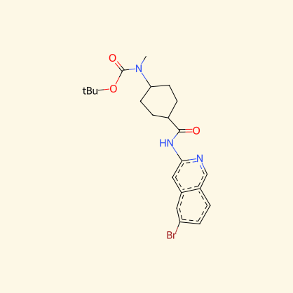 CN(C(=O)OC(C)(C)C)C1CCC(C(=O)Nc2cc3cc(Br)ccc3cn2)CC1